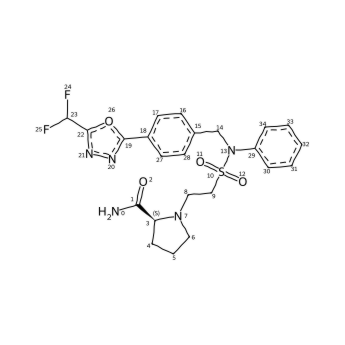 NC(=O)[C@@H]1CCCN1CCS(=O)(=O)N(Cc1ccc(-c2nnc(C(F)F)o2)cc1)c1ccccc1